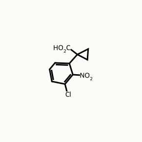 O=C(O)C1(c2cccc(Cl)c2[N+](=O)[O-])CC1